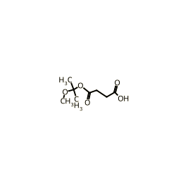 COC(C)(C)OC(=O)CCC(=O)O